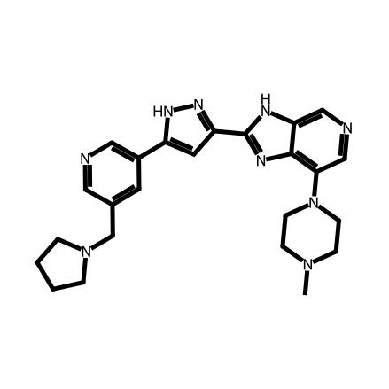 CN1CCN(c2cncc3[nH]c(-c4cc(-c5cncc(CN6CCCC6)c5)[nH]n4)nc23)CC1